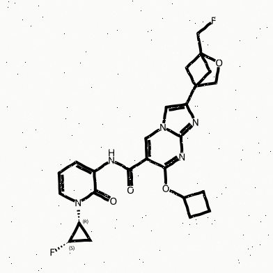 O=C(Nc1cccn([C@@H]2C[C@@H]2F)c1=O)c1cn2cc(C34COC(CF)(C3)C4)nc2nc1OC1CCC1